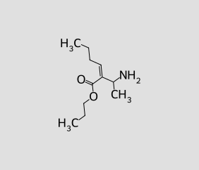 CCCC=C(C(=O)OCCC)C(C)N